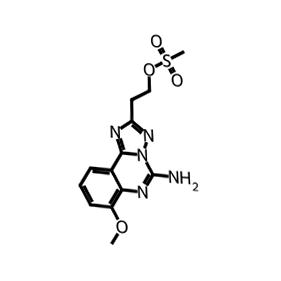 COc1cccc2c1nc(N)n1nc(CCOS(C)(=O)=O)nc21